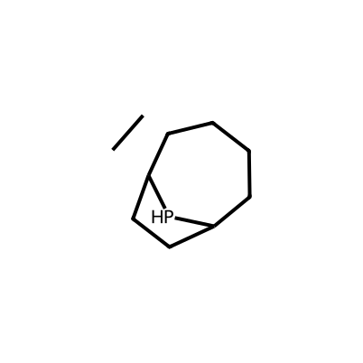 C1CCC2CCC(C1)P2.CC